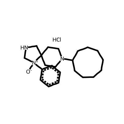 Cl.[O-][N+]1(c2ccccc2)CNCC12CCN(C1CCCCCCCC1)CC2